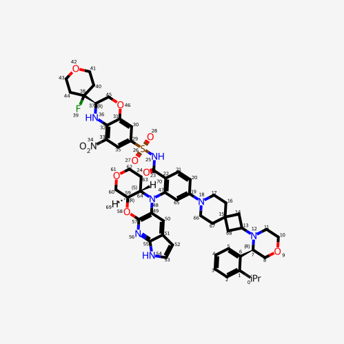 CC(C)c1ccccc1[C@@H]1COCCN1C1CC2(CCN(c3ccc(C(=O)NS(=O)(=O)c4cc5c(c([N+](=O)[O-])c4)N[C@@H](C4(F)CCOCC4)CO5)c(N4c5cc6cc[nH]c6nc5O[C@H]5COCC[C@@H]54)c3)CC2)C1